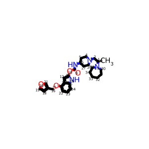 C[C@H](CN1CCC(NC(=O)Oc2cc3c(OCc4ccoc4)cccc3[nH]2)CC1)N1CCCCCC1